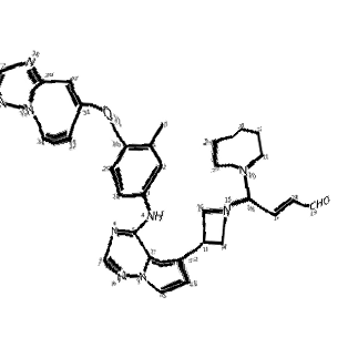 Cc1cc(Nc2ncnn3ccc(C4CN(C(C=CC=O)N5CCCCC5)C4)c23)ccc1Oc1ccn2ncnc2c1